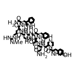 CNC(=N)NCCC[C@H](NC(=O)[C@H](CC(C)C)NC(=O)NNC(=O)[C@H](Cc1ccccc1)NC(=O)C(NC(=O)[C@H](CC(N)=O)NC(=O)C1CNCCN1C(=O)[C@@H](Cc1ccc(O)cc1)NC(C)=O)[C@@H](C)O)C(=O)N[C@@H](Cc1c[nH]c2ccccc12)C(N)=O